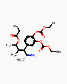 CC(OC(=O)CC(C)(C)C)C(C)C(c1ccc(OC(=O)OCC(C)(C)C)c(OC(=O)OCC(C)(C)C)c1)[C@H](N)C(=O)O